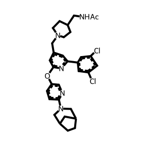 CC(=O)NCC1CCN(Cc2cc(Oc3ccc(N4CC5CCC(C5)C4)nc3)nc(-c3cc(Cl)cc(Cl)c3)c2)CC1